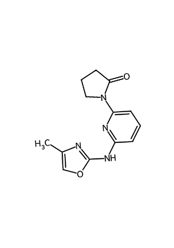 Cc1coc(Nc2cccc(N3CCCC3=O)n2)n1